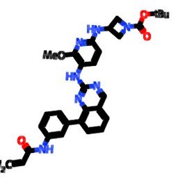 C=CC(=O)Nc1cccc(-c2cccc3cnc(Nc4ccc(NC5CN(C(=O)OC(C)(C)C)C5)nc4OC)nc23)c1